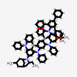 CCC1CC2CC(C)CC(C2)N1c1cc2c3c(c1)N(c1ccccc1)c1cc4c(cc1B3c1ccccc1N2c1ccccc1)B1c2ccccc2N(c2c(-c3ccccc3)cc(-c3ccccc3)cc2-c2ccccc2)c2cc(C(C)(C)C)cc(c21)N4c1ccccc1